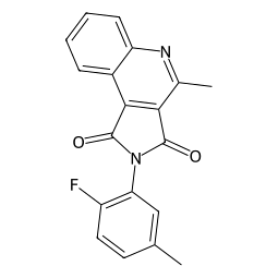 Cc1ccc(F)c(N2C(=O)c3c(C)nc4ccccc4c3C2=O)c1